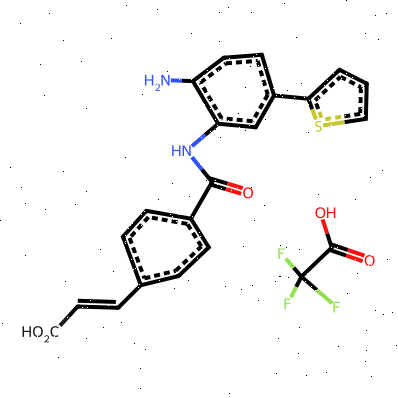 Nc1ccc(-c2cccs2)cc1NC(=O)c1ccc(C=CC(=O)O)cc1.O=C(O)C(F)(F)F